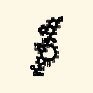 COC(=O)Nc1ccc2c(c1)NCCC=CCC(NC(=O)C=Cc1cc(Cl)ccc1-n1cnnn1)c1nc-2c[nH]1